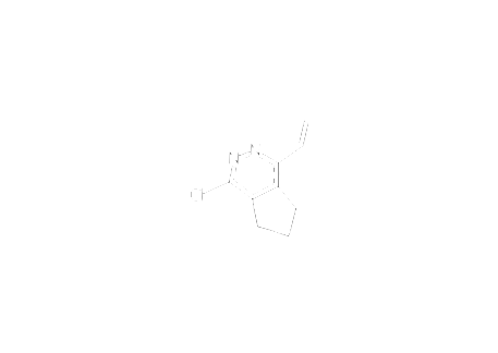 C=Cc1nnc(Cl)c2c1CCC2